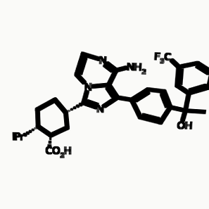 CC(C)[C@@H]1CC[C@H](c2nc(-c3ccc(C(C)(O)c4cccc(C(F)(F)F)c4)cc3)c3c(N)nccn23)C[C@@H]1C(=O)O